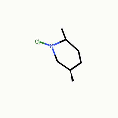 CC1CC[C@@H](C)CN1Cl